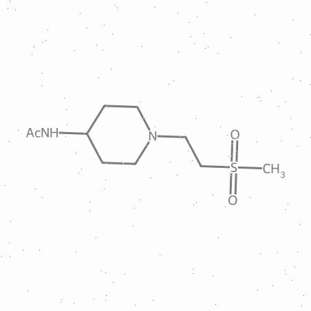 CC(=O)NC1CCN(CCS(C)(=O)=O)CC1